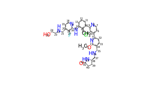 COc1nc(-c2ccnc(-c3cccc(Nc4nccc(CNCCO)c4F)c3C)c2Cl)ccc1CNC[C@H]1CCC(=O)N1